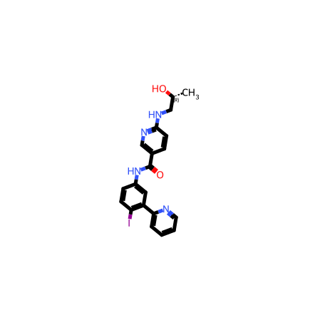 C[C@@H](O)CNc1ccc(C(=O)Nc2ccc(I)c(-c3ccccn3)c2)cn1